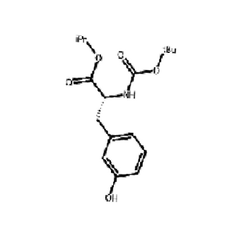 CC(C)OC(=O)[C@@H](Cc1cccc(O)c1)NC(=O)OC(C)(C)C